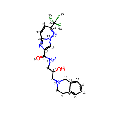 O=C(NCC(O)CN1CCc2ccccc2C1)c1cn2nc(C(F)(F)F)ccc2n1